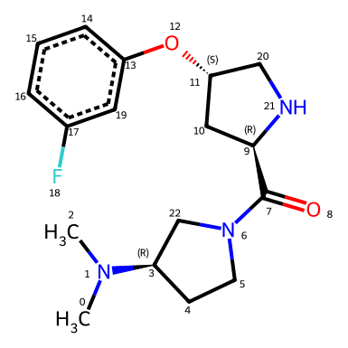 CN(C)[C@@H]1CCN(C(=O)[C@H]2C[C@H](Oc3cccc(F)c3)CN2)C1